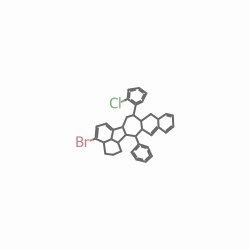 Clc1ccccc1C1CC2C3=CC=C(Br)C4CCCC(C34)C2C(c2ccccc2)C2C=C3C=CC=CC3CC12